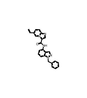 C=Cc1ccc2ncc(C(=O)Nc3cccc4c3cnn4Cc3ccccc3)n2c1